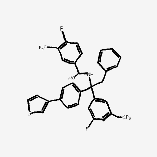 OC(NC(Cc1ccccc1)(c1ccc(-c2ccsc2)cc1)c1cc(F)cc(C(F)(F)F)c1)c1ccc(F)c(C(F)(F)F)c1